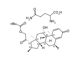 CCCCC(=O)OCC(=O)[C@H]1[C@H](C)C[C@H]2[C@@H]3C[C@H](F)C4=CC(=O)C=C[C@]4(C)[C@@]3(F)[C@@H](O)C[C@@]21C.NC(=O)CCC(N)C(=O)O